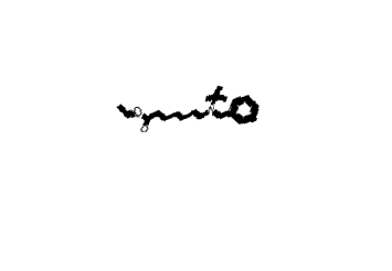 CCOC(=O)CCCCCCN(Cc1ccccc1)C(C)(C)C